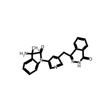 CC1(N)C(=O)N(c2cncc(Cc3n[nH]c(=O)c4ccccc34)c2)c2ccccc21